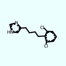 Clc1cccc(Cl)c1CCCCc1c[nH]cn1